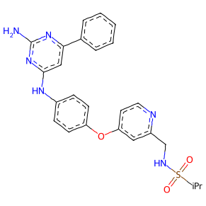 CC(C)S(=O)(=O)NCc1cc(Oc2ccc(Nc3cc(-c4ccccc4)nc(N)n3)cc2)ccn1